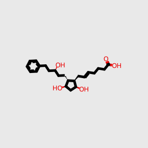 O=C(O)CCC/C=C/C[C@@H]1[C@@H](CC[C@@H](O)CCc2ccccc2)[C@H](O)C[C@@H]1O